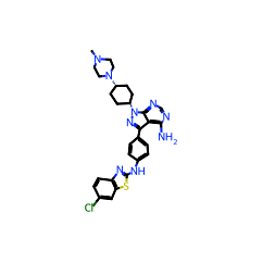 CN1CCN([C@H]2CC[C@@H](n3nc(-c4ccc(Nc5nc6ccc(Cl)cc6s5)cc4)c4c(N)ncnc43)CC2)CC1